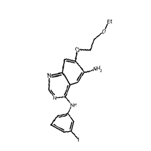 CCOCCOc1cc2ncnc(Nc3cccc(I)c3)c2cc1N